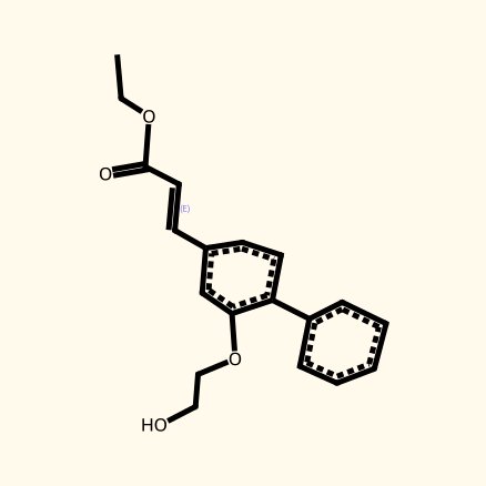 CCOC(=O)/C=C/c1ccc(-c2ccccc2)c(OCCO)c1